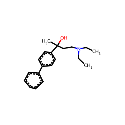 CCN(CC)CCC(C)(O)c1ccc(-c2ccccc2)cc1